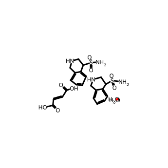 NS(=O)(=O)C1CNCc2ccccc21.NS(=O)(=O)C1CNCc2ccccc21.O.O.O=C(O)/C=C/C(=O)O